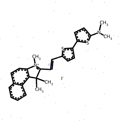 CN(C)c1ccc(-c2ccc(/C=C/C3=[N+](C)c4ccc5ccccc5c4C3(C)C)s2)s1.[I-]